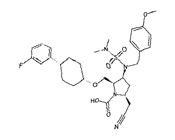 COc1ccc(CN([C@H]2C[C@@H](CC#N)N(C(=O)O)[C@H]2CO[C@H]2CC[C@@H](c3cccc(F)c3)CC2)S(=O)(=O)N(C)C)cc1